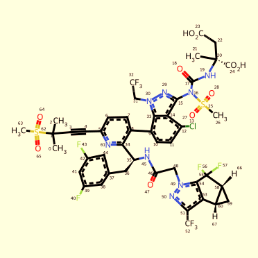 CC(C)(C#Cc1ccc(-c2ccc(Cl)c3c(N(C(=O)N[C@@](C)(CC(=O)O)C(=O)O)S(C)(=O)=O)nn(CC(F)(F)F)c23)c([C@H](Cc2cc(F)cc(F)c2)NC(=O)Cn2nc(C(F)(F)F)c3c2C(F)(F)[C@@H]2C[C@H]32)n1)S(C)(=O)=O